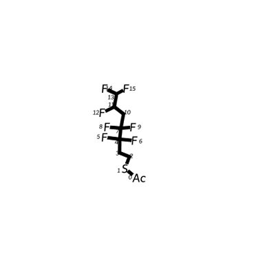 CC(=O)SCCC(F)(F)C(F)(F)CC(F)C(F)F